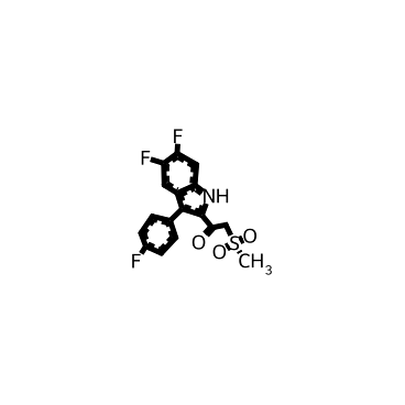 CS(=O)(=O)CC(=O)c1[nH]c2cc(F)c(F)cc2c1-c1ccc(F)cc1